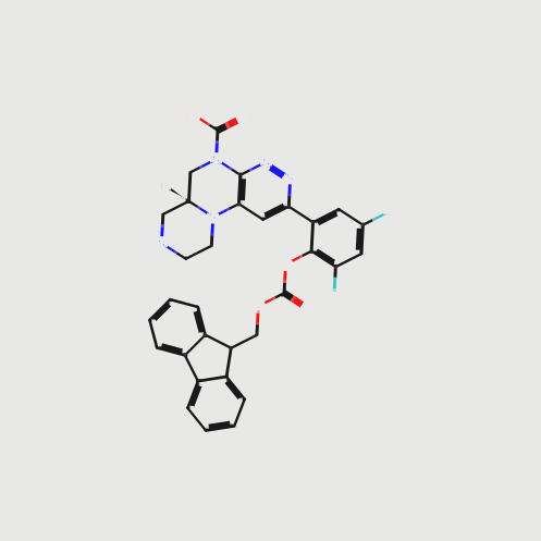 O=C(OCC1c2ccccc2-c2ccccc21)Oc1c(F)cc(F)cc1-c1cc2c(nn1)N(C(=O)O)C[C@H]1CNCCN21